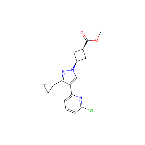 COC(=O)[C@H]1C[C@@H](n2cc(-c3cccc(Cl)n3)c(C3CC3)n2)C1